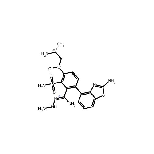 C[C@@H](N)C[S+]([O-])c1ccc(-c2cccc3sc(N)nc23)c(/C(N)=N/NN)c1S(N)(=O)=O